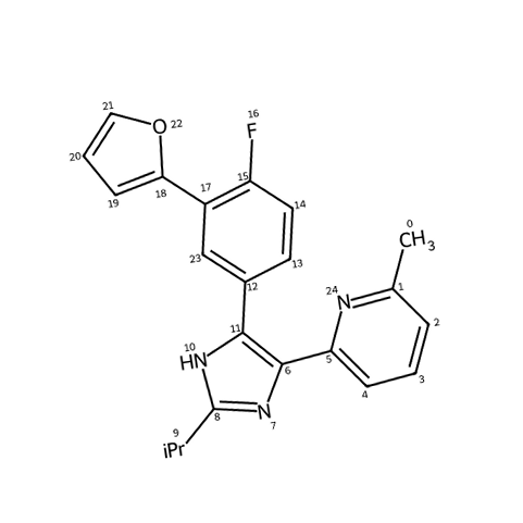 Cc1cccc(-c2nc(C(C)C)[nH]c2-c2ccc(F)c(-c3ccco3)c2)n1